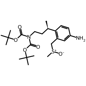 C[C@H](CCN(C(=O)OC(C)(C)C)C(=O)OC(C)(C)C)c1ccc(N)cc1C[S+](C)[O-]